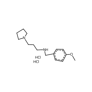 COc1ccc(CNCCCN2CCCC2)cc1.Cl.Cl